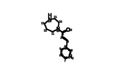 O=C(/C=C/c1cccnc1)N1CCCNCC1